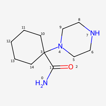 NC(=O)C1(N2CCNCC2)CCCCC1